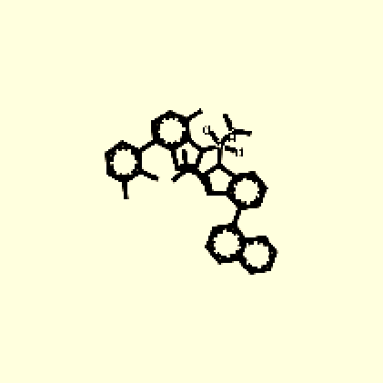 CC1=Cc2c(-c3cccc(C)c3C)ccc(C)c2[CH]1[Zr]([Cl])([Cl])([CH]1C(C(C)C)=Cc2c(-c3cccc4ccccc34)cccc21)[SiH](C)C